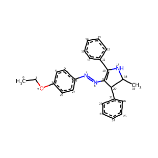 CCOc1ccc(N=NC2=C(c3ccccc3)NC(C)C2c2ccccc2)cc1